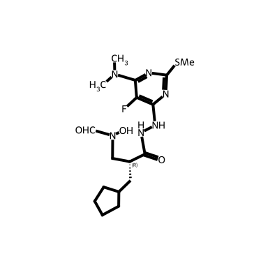 CSc1nc(NNC(=O)[C@H](CC2CCCC2)CN(O)C=O)c(F)c(N(C)C)n1